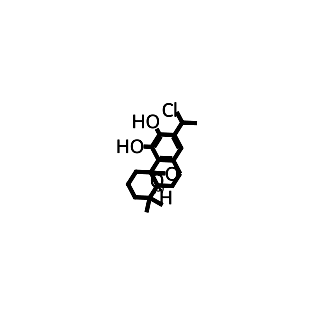 CC(Cl)c1cc2c(c(O)c1O)C13CCCC(C)(C)[C@@H]1CC2OC3=O